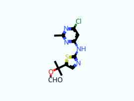 Cc1nc(Cl)cc(Nc2ncc(C(C)(C)OC=O)s2)n1